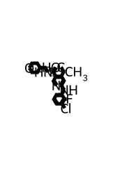 CC(C)c1cc(Nc2cccc(Cl)c2F)ncc1C(=O)NCC1CCOCC1